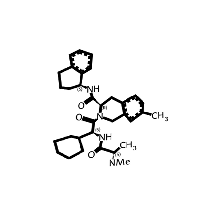 CN[C@@H](C)C(=O)N[C@H](C(=O)N1Cc2cc(C)ccc2C[C@@H]1C(=O)N[C@H]1CCCc2ccccc21)C1CCCCC1